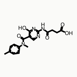 Cc1ccc(N(C)C(=O)c2cnc(NC(=O)CCC(=O)O)nc2O)cc1